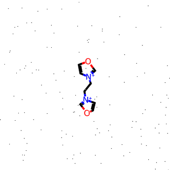 c1c[n+](CC[n+]2ccoc2)co1